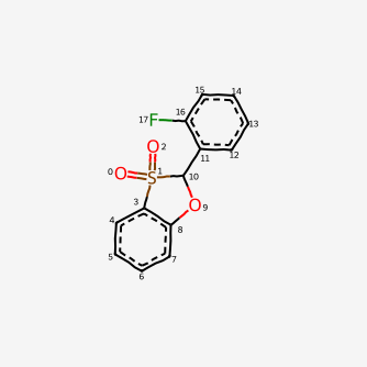 O=S1(=O)c2ccccc2OC1c1ccccc1F